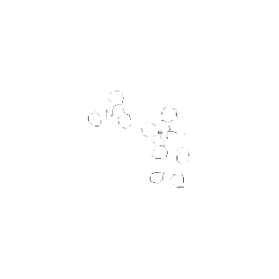 O=c1c2ccccc2c2cc(-c3ccc4c(c3)c3ccccc3n4-c3ccccc3)cc3c4cc5c(cc4n1c23)C1(c2ccccc2-c2ccccc21)c1ccccc1-5